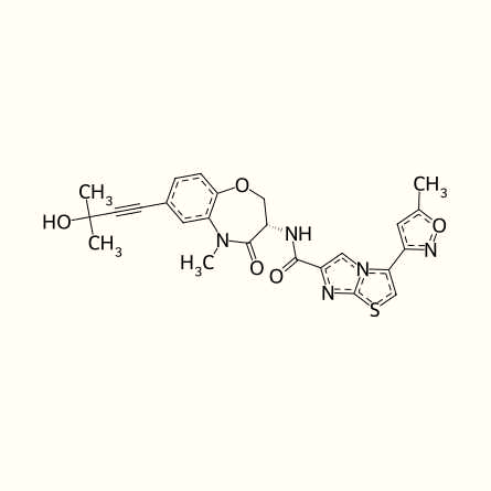 Cc1cc(-c2csc3nc(C(=O)N[C@H]4COc5ccc(C#CC(C)(C)O)cc5N(C)C4=O)cn23)no1